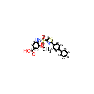 COc1cc(C(=O)O)ccc1NS(=O)(=O)c1csc(-c2ccc(-c3ccccc3)cc2)n1